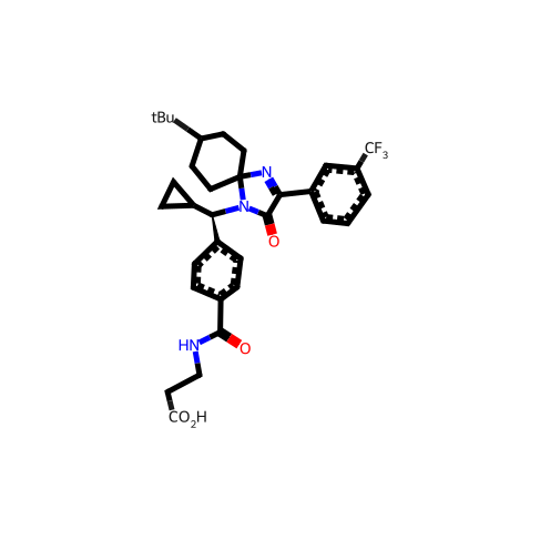 CC(C)(C)C1CCC2(CC1)N=C(c1cccc(C(F)(F)F)c1)C(=O)N2[C@@H](c1ccc(C(=O)NCCC(=O)O)cc1)C1CC1